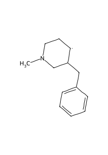 CN1CC[CH]C(Cc2ccccc2)C1